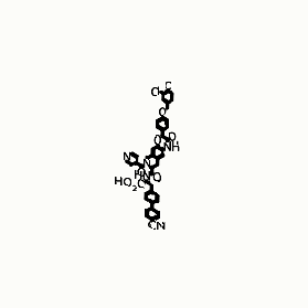 N#Cc1ccc(-c2ccc(C[C@H](NC(=O)C3Cc4cc5c(cc4CN3C(=O)c3ccncc3)OC(c3ccc(OCc4ccc(Cl)c(Cl)c4)cc3)C(=O)N5)C(=O)O)cc2)cc1